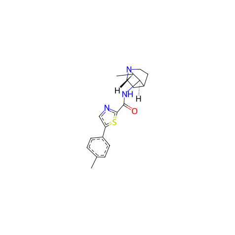 Cc1ccc(-c2cnc(C(=O)N[C@@H]3C4CCN(CC4)[C@H]3C)s2)cc1